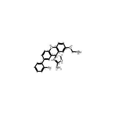 CC(=O)c1ccccc1-c1ccc2c(c1)[C@@]1(COC(N)=N1)c1cc(OCC(C)(C)C)ccc1O2